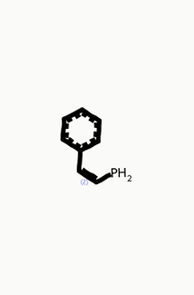 P/C=C\c1ccccc1